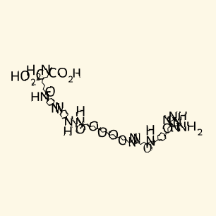 Nc1nc(OCc2ccc(CNC(=O)CCc3cn(CCOCCOCCOCCOCCC(=O)NCCNc4ccc(/N=N/c5ccc(NC(=O)CCC[C@@H](C[C@H](N)C(=O)O)C(=O)O)cc5)cc4)nn3)cc2)c2nc[nH]c2n1